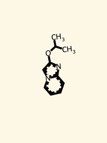 CC(C)Oc1cn2ccccc2n1